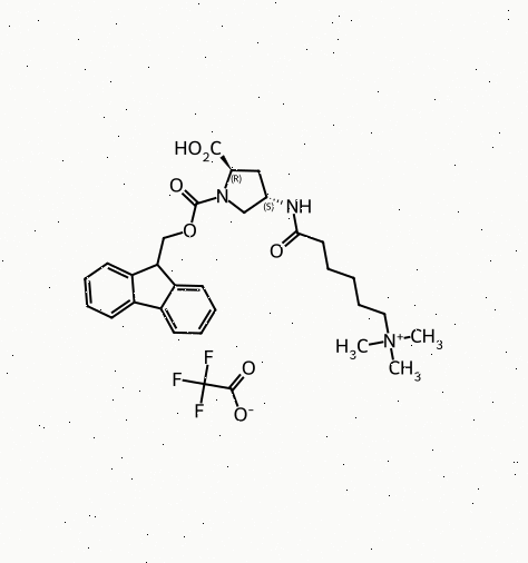 C[N+](C)(C)CCCCCC(=O)N[C@H]1C[C@H](C(=O)O)N(C(=O)OCC2c3ccccc3-c3ccccc32)C1.O=C([O-])C(F)(F)F